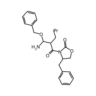 CC(C)CC(C(=O)N1C(=O)OCC1Cc1ccccc1)C(N)OCc1ccccc1